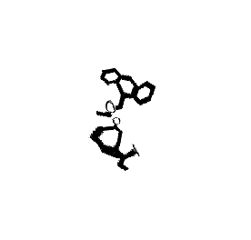 CCC(I)C1=CCCC(OC(C)OCC2C3=C(C=C4C=CCCC42)CCC=C3)C1